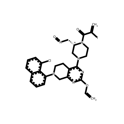 C=COc1nc2c(c(N3CCN(C(=O)C(=C)I)[C@@H](CN=O)C3)n1)CCN(c1cccc3cccc(Cl)c13)C2